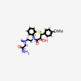 COc1ccc(C2Sc3ccccc3N(CCN(C)CC(N)=O)C(=O)C2O)cc1